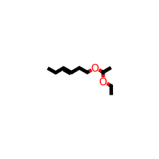 CC/C=C/CCOC(C)OCC